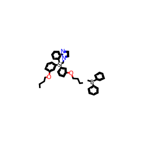 CB(c1ccccc1)c1ccccc1.CCCCOc1cccc([Si](Cn2ccnc2)(c2ccccc2)c2cccc(OCCCC)c2)c1